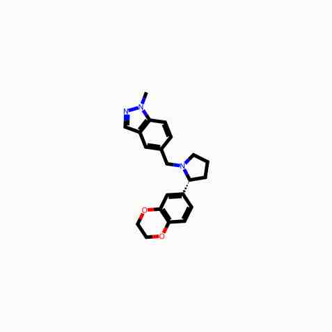 Cn1ncc2cc(CN3CCC[C@@H]3c3ccc4c(c3)OCCO4)ccc21